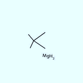 CC(C)(C)C.[MgH2]